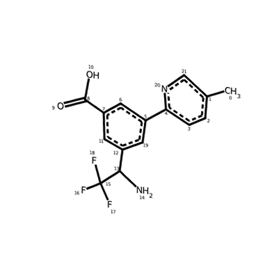 Cc1ccc(-c2cc(C(=O)O)cc(C(N)C(F)(F)F)c2)nc1